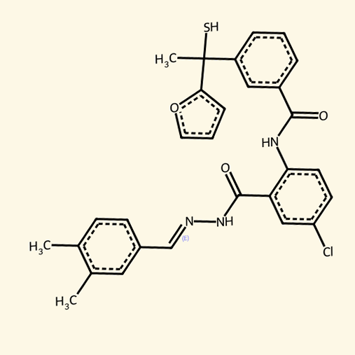 Cc1ccc(/C=N/NC(=O)c2cc(Cl)ccc2NC(=O)c2cccc(C(C)(S)c3ccco3)c2)cc1C